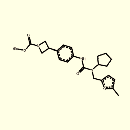 Cc1ccc(CN(C(=O)Nc2ccc(C3CN(C(=O)OC(C)(C)C)C3)cc2)C2CCCC2)o1